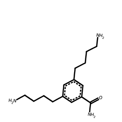 NCCCCc1cc(CCCCN)cc(C(N)=O)c1